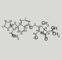 C[C@H]1C(COc2cccc3c(C[N+]4(CCN)CCCC4)cccc23)=C(C=O)N2C(=O)[C@H]([C@@H](C)O)C12